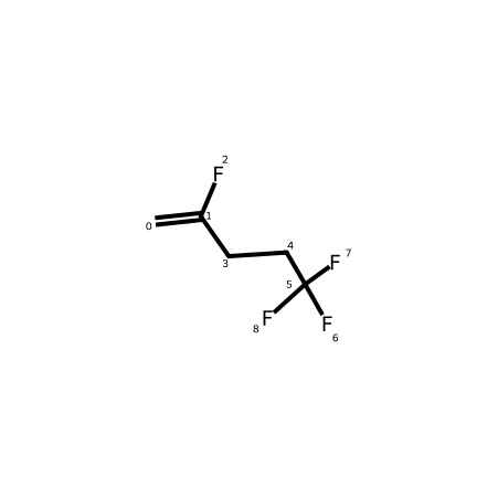 C=C(F)CCC(F)(F)F